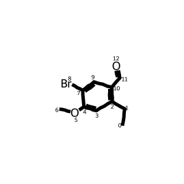 CCc1cc(OC)c(Br)cc1C=O